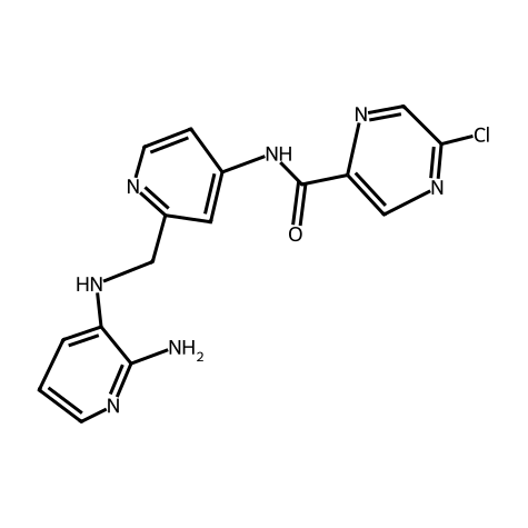 Nc1ncccc1NCc1cc(NC(=O)c2cnc(Cl)cn2)ccn1